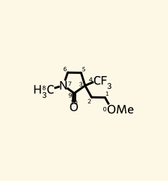 COCCC1(C(F)(F)F)CCN(C)C1=O